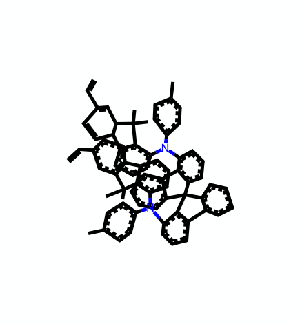 C=CC1=CC2C(C=C1)c1cccc(N(c3ccc(C)cc3)c3cccc4c3-c3ccccc3C43c4ccccc4-c4cccc(N(c5ccc(C)cc5)c5cccc6c5C(C)(C)c5cc(C=C)ccc5-6)c43)c1C2(C)C